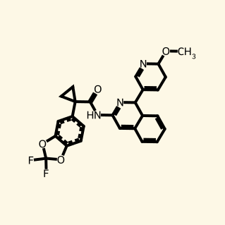 COC1CC=C(C2N=C(NC(=O)C3(c4ccc5c(c4)OC(F)(F)O5)CC3)C=C3C=CC=CC32)C=N1